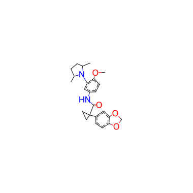 COc1ccc(NC(=O)C2(c3ccc4c(c3)OCO4)CC2)cc1N1C(C)CCC1C